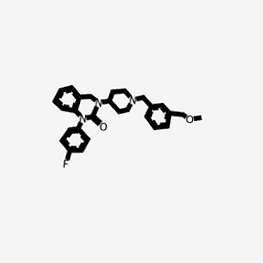 COCc1cccc(CN2CCC(N3Cc4ccccc4N(c4ccc(F)cc4)C3=O)CC2)c1